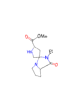 CCN1C(=O)C2CCCN2C12CNC(C(=O)OC)C2